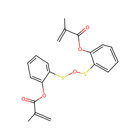 C=C(C)C(=O)Oc1ccccc1SOSc1ccccc1OC(=O)C(=C)C